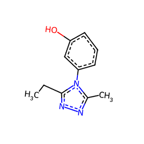 CCc1nnc(C)n1-c1cccc(O)c1